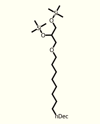 CCCCCCCCCCCCCCCCCCOCC(CO[Si](C)(C)C)O[Si](C)(C)C